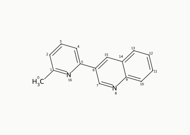 Cc1cccc(-c2cnc3ccccc3c2)n1